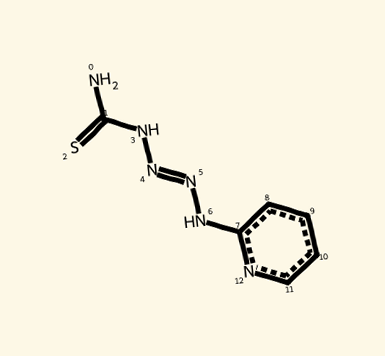 NC(=S)NN=NNc1ccccn1